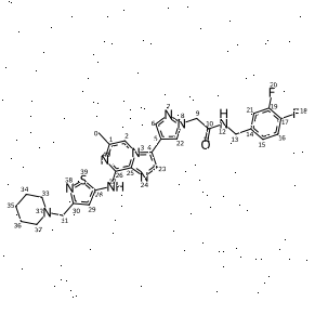 Cc1cn2c(-c3cnn(CC(=O)NCc4ccc(F)c(F)c4)c3)cnc2c(Nc2cc(CN3CCCCC3)ns2)n1